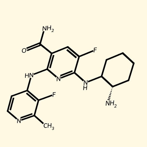 Cc1nccc(Nc2nc(NC3CCCC[C@@H]3N)c(F)cc2C(N)=O)c1F